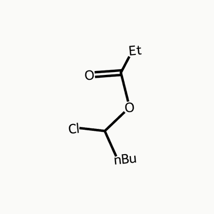 CCCCC(Cl)OC(=O)CC